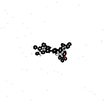 Cc1cc(-c2cccc3c2ccc2c4cccc5c4n(c32)B2c3cccc4c3N(c3ccccc3S4)c3cc(-c4ccccc4)cc-5c32)ccc1-c1cc2c3c(c1)N1c4ccccc4C(c4ccccc4)(c4ccccc4)c4cccc(c41)B3n1c3ccc4ccccc4c3c3cccc-2c31